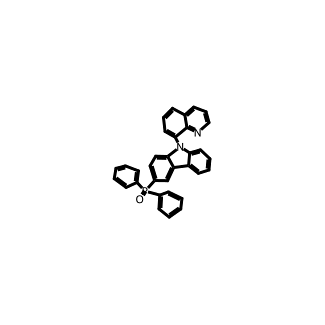 O=P(c1ccccc1)(c1ccccc1)c1ccc2c(c1)c1ccccc1n2-c1cccc2cccnc12